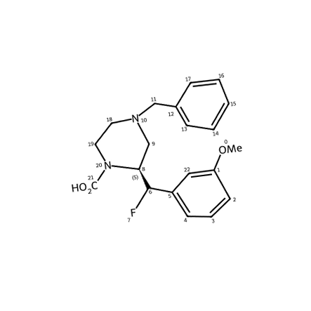 COc1cccc(C(F)[C@@H]2CN(Cc3ccccc3)CCN2C(=O)O)c1